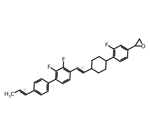 C/C=C/c1ccc(-c2ccc(/C=C/C3CCC(c4ccc(C5CO5)cc4F)CC3)c(F)c2F)cc1